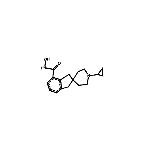 O=C(NO)c1cccc2c1CC1(CCN(C3CC3)CC1)C2